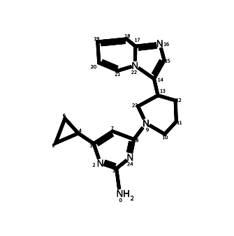 Nc1nc(C2CC2)cc(N2CCCC(c3cnc4ccccn34)C2)n1